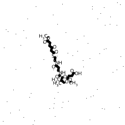 COC(=O)CCC(=O)CC(=O)SCCNC(=O)CCNC(=O)[C@@H]1OC(CCC(=O)O)(OC)OCC1(C)C